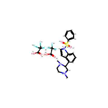 CN1CCN(C)C(c2cccc3c2ccn3S(=O)(=O)c2ccccc2)C1.O=C(O)C(F)(F)F.O=C(O)C(F)(F)F